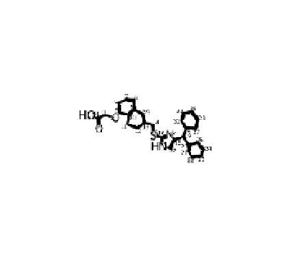 O=C(O)COc1cccc2c1CCC(CSc1nc(C(c3ccccc3)c3ccccc3)c[nH]1)C2